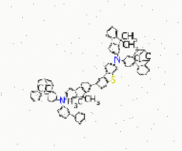 CC1(C)c2ccccc2-c2ccc(N(c3ccc4c(c3)C3CC5CC(CC(C5)c5ccccc5-4)C3)c3ccc4c(c3)sc3ccc(-c5ccc6c(c5)C(C)(C)c5cc(N(c7cccc(-c8ccccc8)c7)c7ccc8c(c7)C7CC9CC(CC(C9)c9ccccc9-8)C7)ccc5-6)cc34)cc21